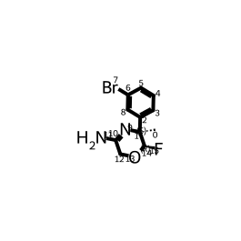 C[C@@]1(c2cccc(Br)c2)N=C(N)CO[C@@H]1F